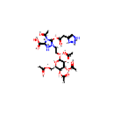 CC(=O)OC[C@H]1O[C@@H](OCCN2NC(C(=O)O)N(C(C)=O)C2OC(=O)Cc2c[nH]nn2)[C@H](OC(C)=O)[C@@H](OC(C)=O)[C@H]1OC(C)=O